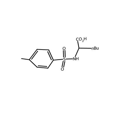 CCCCC(NS(=O)(=O)c1ccc(C)cc1)C(=O)O